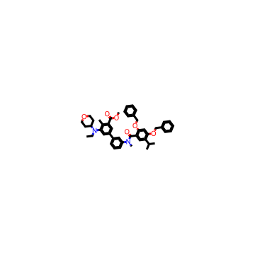 CCN(c1cc(-c2cccc(N(C)C(=O)c3cc(C(C)C)c(OCc4ccccc4)cc3OCc3ccccc3)c2)cc(C(=O)OC)c1C)C1CCOCC1